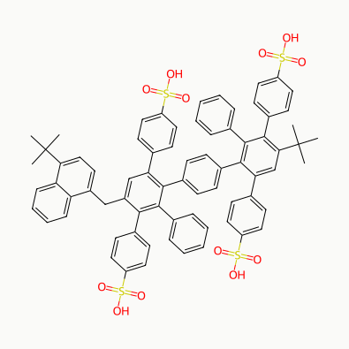 CC(C)(C)c1cc(-c2ccc(S(=O)(=O)O)cc2)c(-c2ccc(-c3c(-c4ccc(S(=O)(=O)O)cc4)cc(Cc4ccc(C(C)(C)C)c5ccccc45)c(-c4ccc(S(=O)(=O)O)cc4)c3-c3ccccc3)cc2)c(-c2ccccc2)c1-c1ccc(S(=O)(=O)O)cc1